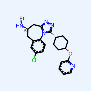 CCN[C@@H]1Cc2cc(Cl)ccc2-n2c(nnc2[C@H]2CC[C@H](Oc3ccccn3)CC2)C1